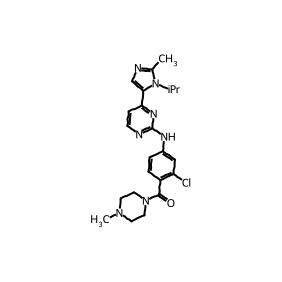 Cc1ncc(-c2ccnc(Nc3ccc(C(=O)N4CCN(C)CC4)c(Cl)c3)n2)n1C(C)C